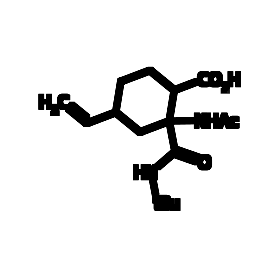 C=CC1CCC(C(=O)O)C(NC(C)=O)(C(=O)NC(C)(C)C)C1